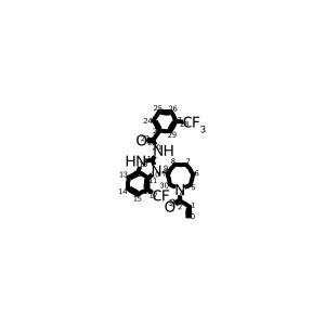 C=CC(=O)N1CCCC[C@@H](N2c3c(cccc3C(F)(F)F)NC2NC(=O)c2cccc(C(F)(F)F)c2)C1